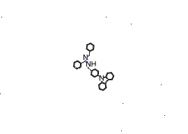 c1ccc(C/N=C(\NCc2ccc(-n3c4ccccc4c4ccccc43)cc2)c2ccccc2)cc1